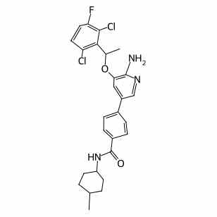 CC1CCC(NC(=O)c2ccc(-c3cnc(N)c(OC(C)c4c(Cl)ccc(F)c4Cl)c3)cc2)CC1